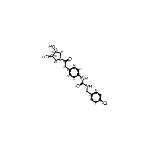 O=C(NCc1ccc(Cl)cc1)Nc1ccc(CC(=O)N2C[C@@H](O)[C@@H](O)C2)cc1